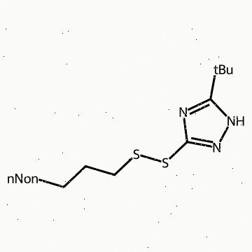 CCCCCCCCCCCCSSc1n[nH]c(C(C)(C)C)n1